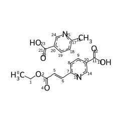 CCOC(=O)C=Cc1ccc(C(=O)O)cn1.Cc1ccc(C(=O)O)cn1